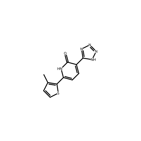 Cc1ccsc1-c1ccc(-c2nnn[nH]2)c(=O)[nH]1